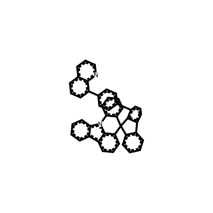 c1ccc2c(c1)-c1cccc(-c3ccc(-c4cccc5cccnc45)cc3)c1C21c2ccccc2-n2c3ccccc3c3cccc1c32